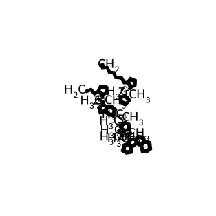 C=CCCC1=[C]([Zr]([CH3])([CH3])[CH]2C=Cc3ccccc32)CC=C1.C=CCCCCCCC1=[C]([Zr]([CH3])([CH3])[C]2=CC=CC2)CC=C1.C[Si](C)(C)C1=C[C]([Si](C)(C)C)([Zr]([CH3])([CH3])[CH]2c3ccccc3-c3c2ccc2ccccc32)C=C1